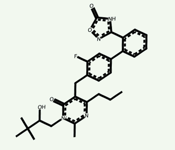 CCCc1nc(C)n(CC(O)C(C)(C)C)c(=O)c1Cc1ccc(-c2ccccc2-c2noc(=O)[nH]2)cc1F